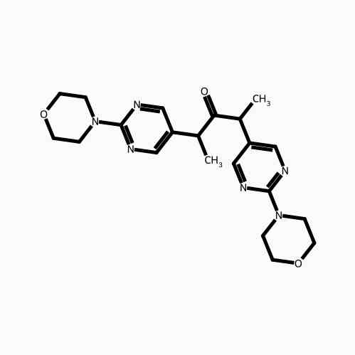 CC(C(=O)C(C)c1cnc(N2CCOCC2)nc1)c1cnc(N2CCOCC2)nc1